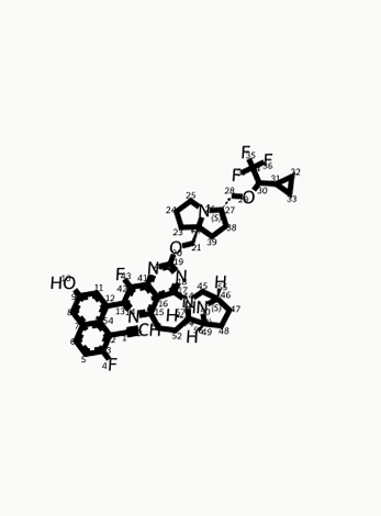 C#Cc1c(F)ccc2cc(O)cc(-c3nc4c5c(nc(OC[C@@]67CCCN6[C@H](COC(C6CC6)C(F)(F)F)CC7)nc5c3F)N3C[C@@H]5CC[C@@H](N5)[C@H]3CC4)c12